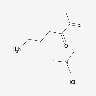 C=C(C)C(=O)CCCN.CN(C)C.Cl